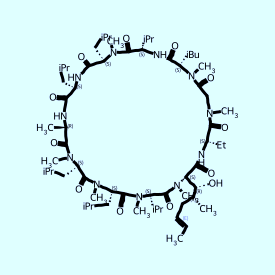 C/C=C/C[C@@H](C)[C@@H](O)[C@H]1C(=O)N[C@@H](CC)C(=O)N(C)CC(=O)N(C)[C@@H](C(C)CC)C(=O)N[C@@H](C(C)C)C(=O)N(C)[C@@H](CC(C)C)C(=O)N[C@@H](CC(C)C)C(=O)N[C@H](C)C(=O)N(C)[C@@H](CC(C)C)C(=O)N(C)[C@@H](CC(C)C)C(=O)N(C)[C@@H](C(C)C)C(=O)N1C